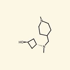 CN1CCC(CN(C)[C@H]2C[C@H](O)C2)CC1